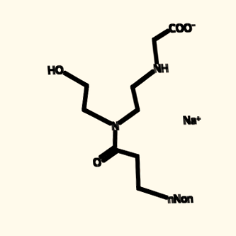 CCCCCCCCCCCC(=O)N(CCO)CCNCC(=O)[O-].[Na+]